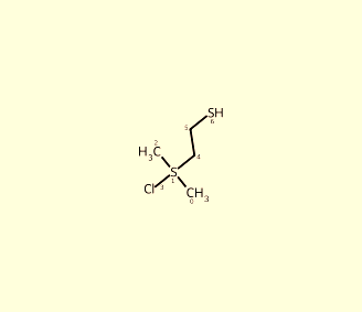 CS(C)(Cl)CCS